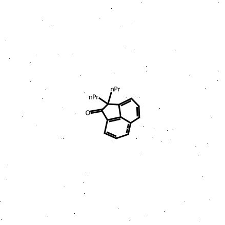 CCCC1(CCC)C(=O)c2cccc3cccc1c23